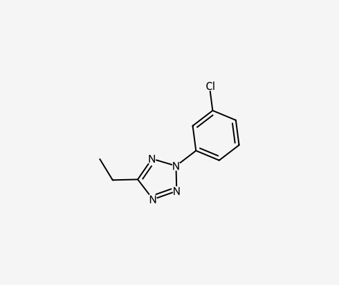 CCc1nnn(-c2cccc(Cl)c2)n1